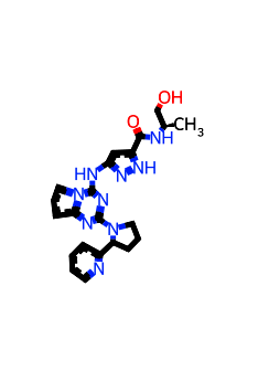 C[C@H](CO)NC(=O)c1cc(Nc2nc(N3CCCC3c3ccccn3)nc3cccn23)n[nH]1